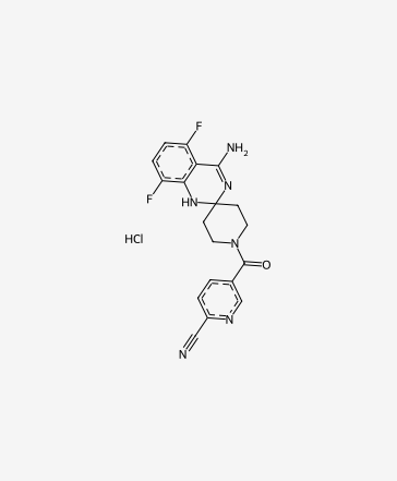 Cl.N#Cc1ccc(C(=O)N2CCC3(CC2)N=C(N)c2c(F)ccc(F)c2N3)cn1